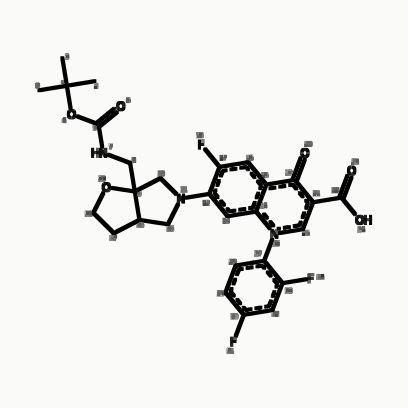 CC(C)(C)OC(=O)NCC12CN(c3cc4c(cc3F)c(=O)c(C(=O)O)cn4-c3ccc(F)cc3F)CC1CCO2